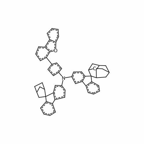 c1ccc2c(c1)-c1ccc(N(c3ccc(-c4cccc5c4oc4ccccc45)cc3)c3ccc4c(c3)-c3ccccc3C43C4CCC5CC(C4)CC3C5)cc1C21CC2CCC1C2